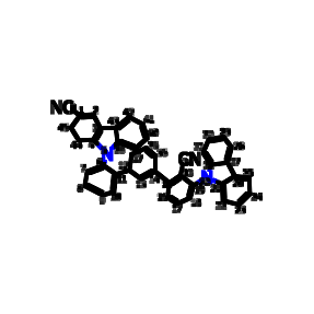 N#CC1=Cc2c(n(-c3ccccc3C3C=C(c4cccc(-n5c6ccccc6c6ccccc65)c4C#N)C=CC3)c3ccccc23)CC1